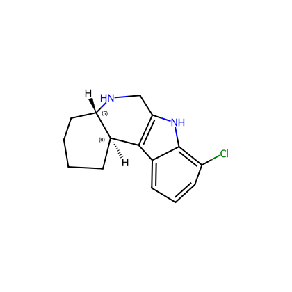 Clc1cccc2c3c([nH]c12)CN[C@H]1CCCC[C@H]31